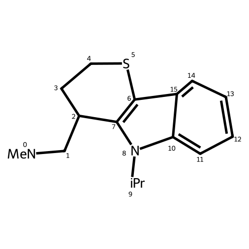 CNCC1CCSc2c1n(C(C)C)c1ccccc21